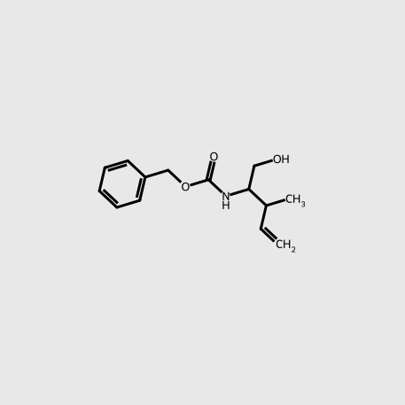 C=CC(C)C(CO)NC(=O)OCc1ccccc1